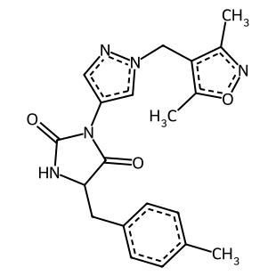 Cc1ccc(CC2NC(=O)N(c3cnn(Cc4c(C)noc4C)c3)C2=O)cc1